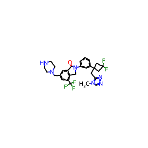 Cn1cnnc1CC1(c2cccc(N3Cc4c(cc(CN5CCNCC5)cc4C(F)(F)F)C3=O)c2)CC(F)(F)C1